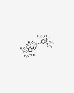 CC[Si](CC)(CCc1cc(C(C)C)c(O)c(C(C)C)c1)CCc1cc(C(C)C)c(O)c(C(C)C)c1